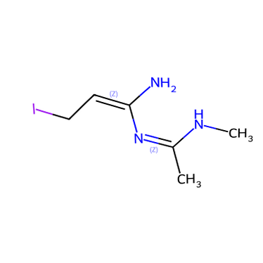 CN/C(C)=N\C(N)=C/CI